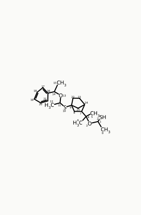 CC(S)OC(C)(C)C1CC2(SC(C)OC(C)c3ccccc3)CCC1C2